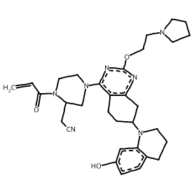 C=CC(=O)N1CCN(c2nc(OCCN3CCCC3)nc3c2CCC(N2CCCc4ccc(O)cc42)C3)CC1CC#N